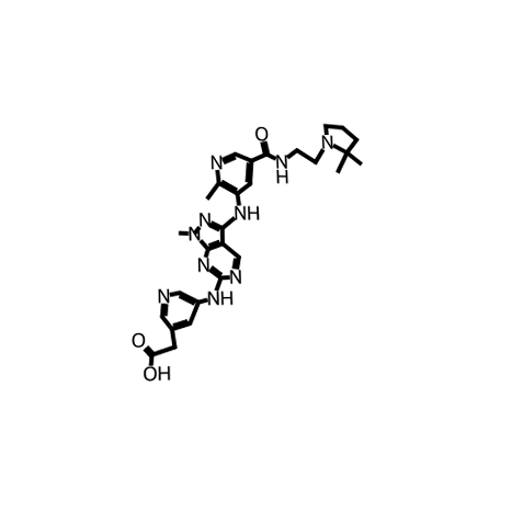 Cc1ncc(C(=O)NCCN2CCCC2(C)C)cc1Nc1nn(C)c2nc(Nc3cncc(CC(=O)O)c3)ncc12